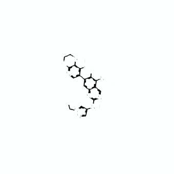 Cc1c(-c2cc3nc(Nc4cnn(CC(C)C)c4)ncc3c(N)c2F)cnc2c1NCCO2